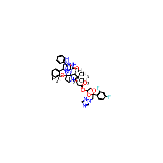 COC1(N2CCNCC2c2ccccc2)CCN(CCC(=O)OC2COC(Cn3cncn3)(c3ccc(F)cc3F)O2)C1(C(C)C(C)(C)C)n1nc(-c2ccccc2)[nH]c1=O